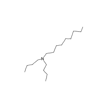 CCCCCCCCCN(CCCC)CCCC